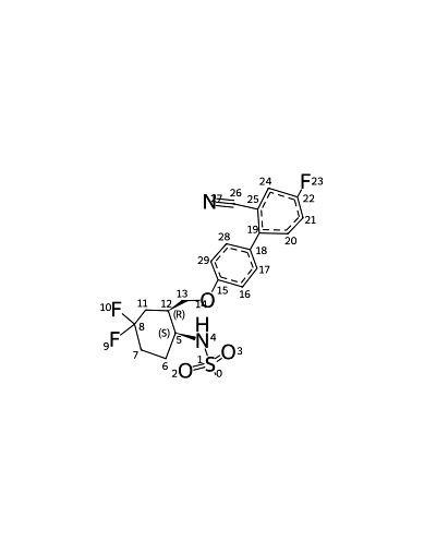 CS(=O)(=O)N[C@H]1CCC(F)(F)C[C@H]1COc1ccc(-c2ccc(F)cc2C#N)cc1